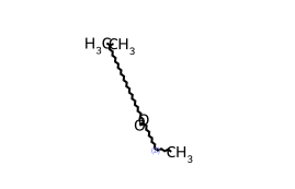 CCCC/C=C\CCCCCCCC(=O)OCCCCCCCCCCCCCCCCCCCCCCCC(C)C